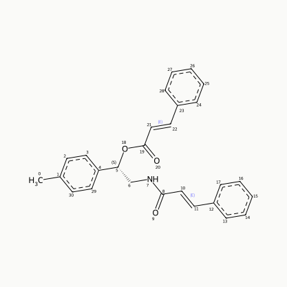 Cc1ccc([C@@H](CNC(=O)/C=C/c2ccccc2)OC(=O)/C=C/c2ccccc2)cc1